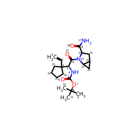 C=CC1([C@H](NC(=O)OC(C)(C)C)C(=O)N2C(C(N)=O)CC3CC32)CCCC1